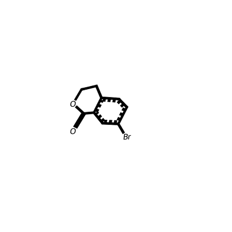 O=C1OCCc2ccc(Br)cc21